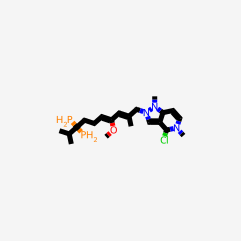 COC(=C\CCC(P)(P)C(C)C)/C=C(\C)CN1C=C2C(Cl)N(C)C=CC2N1C